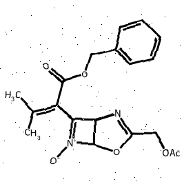 CC(=O)OCC1=NC2C(C(C(=O)OCc3ccccc3)=C(C)C)=[N+]([O-])C2O1